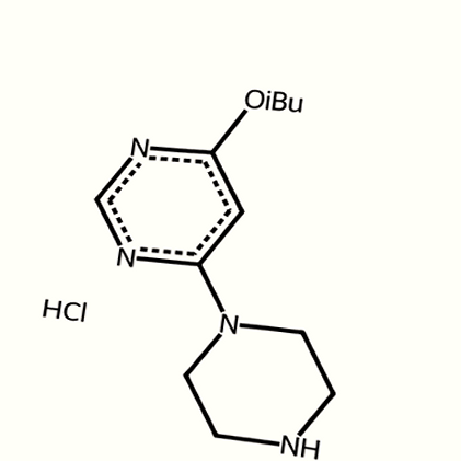 CC(C)COc1cc(N2CCNCC2)ncn1.Cl